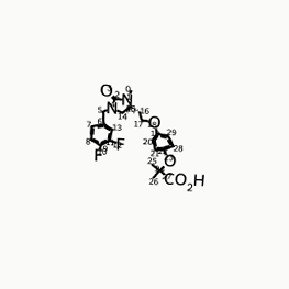 CN1C(=O)N(Cc2ccc(F)c(F)c2)C[C@H]1CCOc1ccc(OC(C)(C)C(=O)O)cc1